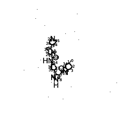 Cc1ccc2nc(-c3c[nH]nc3-c3ccc(NC(=O)c4csc(-c5ccncc5)n4)cc3)oc2c1